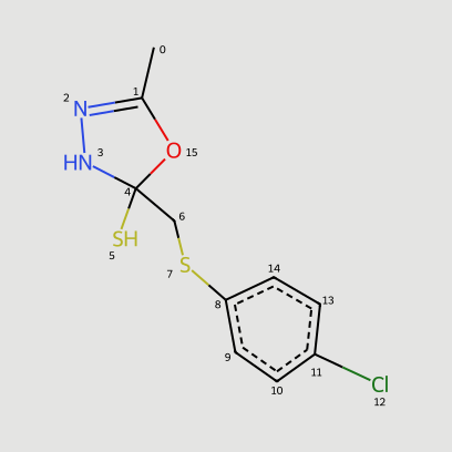 CC1=NNC(S)(CSc2ccc(Cl)cc2)O1